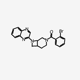 O=C(c1ccccc1Br)N1CCC2CN(c3cnc4ccccc4n3)C2C1